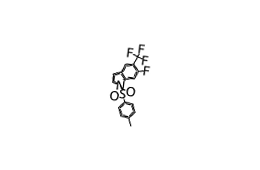 Cc1ccc(S(=O)(=O)n2ccc3cc(C(F)(F)F)c(F)cc32)cc1